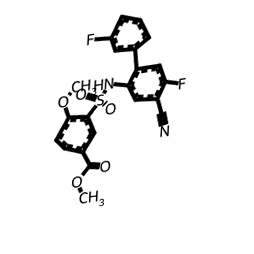 COC(=O)c1ccc(OC)c(S(=O)(=O)Nc2cc(C#N)c(F)cc2-c2cccc(F)c2)c1